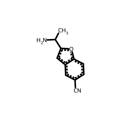 CC(N)c1cc2cc(C#N)ccc2o1